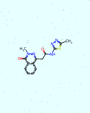 Cc1nnc(NC(=O)Cc2nn(C)c(=O)c3ccccc23)s1